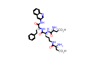 N[C@@H](CC(=O)O)C(=O)NCCC[C@H](NC(=O)[C@@H](N)CC(=O)O)C(=O)N[C@H](CCc1ccccc1)C(=O)Nc1cnc2ccccc2c1